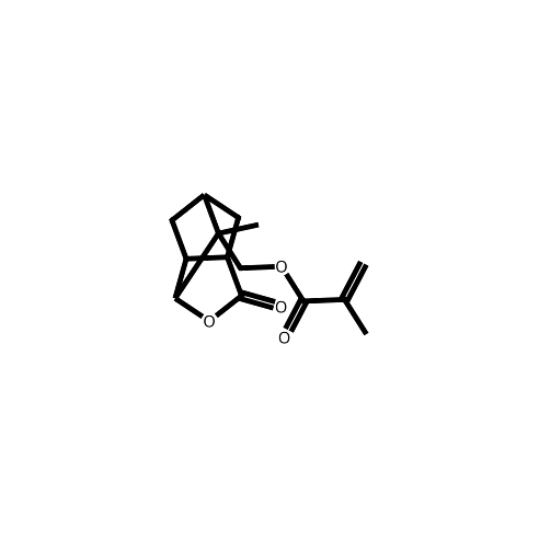 C=C(C)C(=O)OCC1(C)C2CC3C(=O)OC1C3C2